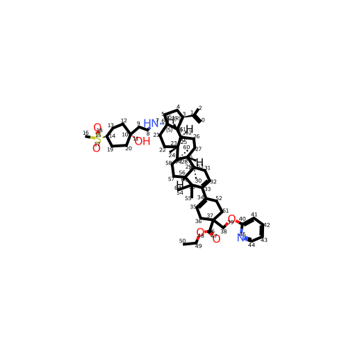 C=C(C)[C@@H]1CC[C@]2(NCC[C@]3(O)CC[C@@H](S(C)(=O)=O)CC3)CC[C@]3(C)[C@H](CC[C@@H]4[C@@]5(C)CC=C(C6=CCC(COc7ccccn7)(C(=O)OCC)CC6)C(C)(C)[C@@H]5CC[C@]43C)[C@@H]12